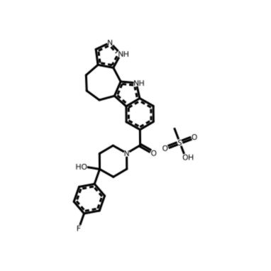 CS(=O)(=O)O.O=C(c1ccc2[nH]c3c(c2c1)CCCc1cn[nH]c1-3)N1CCC(O)(c2ccc(F)cc2)CC1